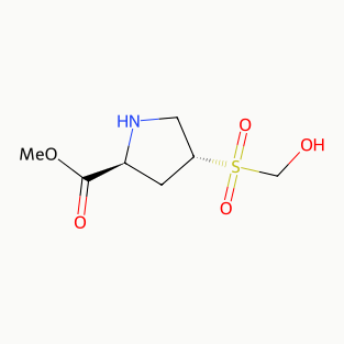 COC(=O)[C@@H]1C[C@@H](S(=O)(=O)CO)CN1